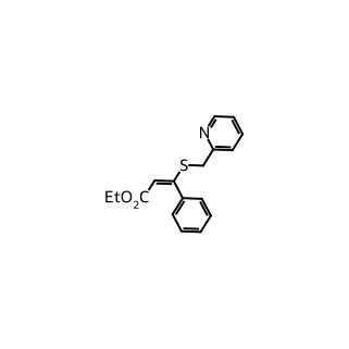 CCOC(=O)C=C(SCc1ccccn1)c1ccccc1